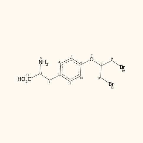 NC(Cc1ccc(OC(CBr)CBr)cc1)C(=O)O